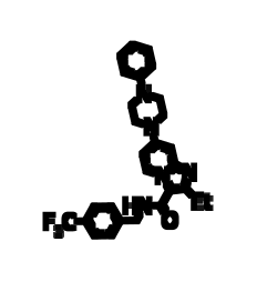 CCc1nc2cc(N3CCN(c4ccccc4)CC3)ccn2c1C(=O)NCc1ccc(C(F)(F)F)cc1